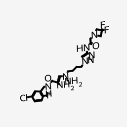 N/C(=C\N(N)CCCCn1cc(NC(=O)CN2CC(F)(F)C2)nn1)C(=O)NCc1cc(Cl)ccc1F